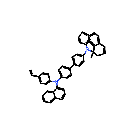 C=Cc1ccc(N(c2ccc(-c3ccc(N(c4ccccc4)C4(C)CC=Cc5ccccc54)cc3)cc2)c2cccc3ccccc23)cc1